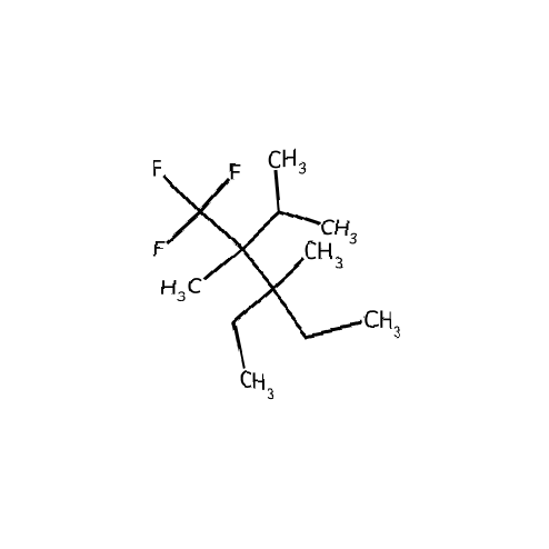 CCC(C)(CC)C(C)(C(C)C)C(F)(F)F